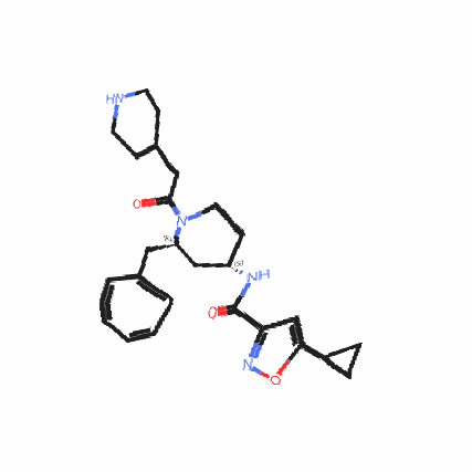 O=C(N[C@H]1CCN(C(=O)CC2CCNCC2)[C@H](Cc2ccccc2)C1)c1cc(C2CC2)on1